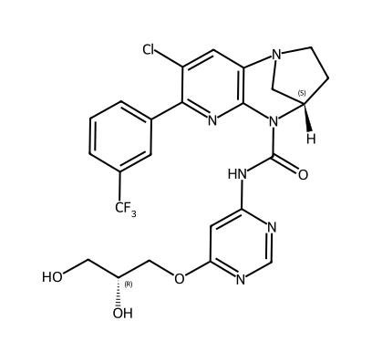 O=C(Nc1cc(OC[C@H](O)CO)ncn1)N1c2nc(-c3cccc(C(F)(F)F)c3)c(Cl)cc2N2CC[C@H]1C2